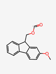 COc1ccc2c(c1)C(CO[C]=O)c1ccccc1-2